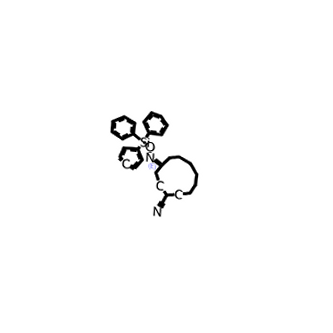 N#CC1CCCCCCC/C(=N\O[Si](c2ccccc2)(c2ccccc2)c2ccccc2)CC1